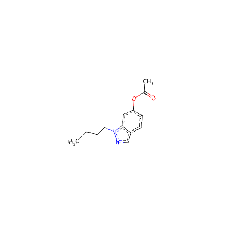 CCCCn1ncc2ccc(OC(C)=O)cc21